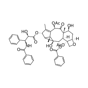 CC(=O)O[C@H]1C(=O)[C@@]2(C)[C@H]([C@H](OC(=O)c3ccccc3)[C@]3(O)C4[C@H](OC(=O)[C@H](O)[C@@H](NC(=O)c5ccccc5)c5ccccc5)C(C)=C1[C@@]43C)[C@]1(OC(C)=O)CO[C@@H]1C[C@@H]2O